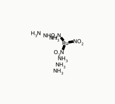 N.N.N.N.N.N.O=[N+]([O-])[Ru]([N+](=O)[O-])[N+](=O)[O-]